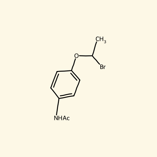 CC(=O)Nc1ccc(OC(C)Br)cc1